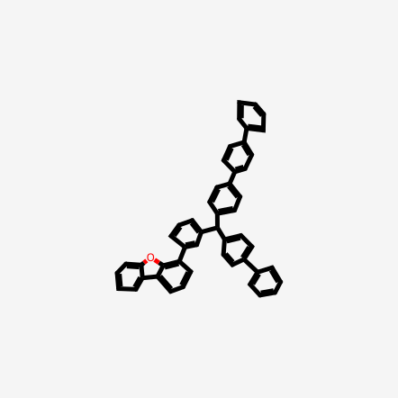 c1ccc(-c2ccc(-c3ccc(C(c4ccc(-c5ccccc5)cc4)c4cccc(-c5cccc6c5oc5ccccc56)c4)cc3)cc2)cc1